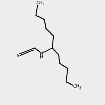 CCCCCC(CCCCC)N[C]=S